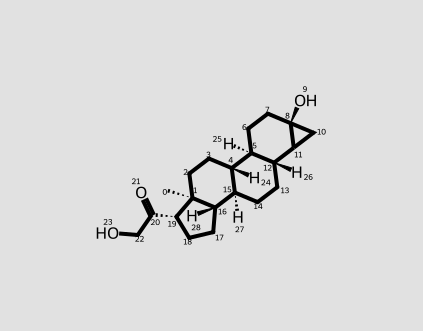 C[C@]12CC[C@@H]3[C@H]4CC[C@]5(O)CC5[C@@H]4CC[C@H]3[C@@H]1CC[C@@H]2C(=O)CO